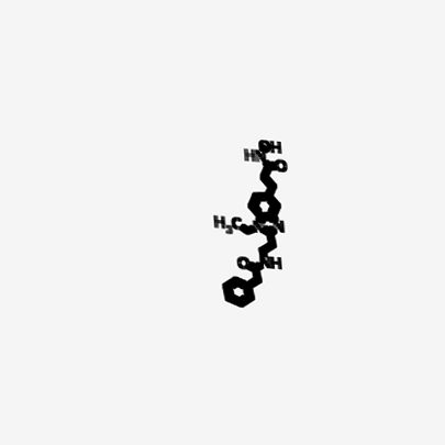 CCn1c(CCNC(=O)Cc2ccccc2)nc2cc(/C=C/C(=O)NO)ccc21